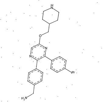 CC(C)c1ccc(-c2nc(OCC3CCNCC3)cnc2-c2ccc(CN)cc2)cc1